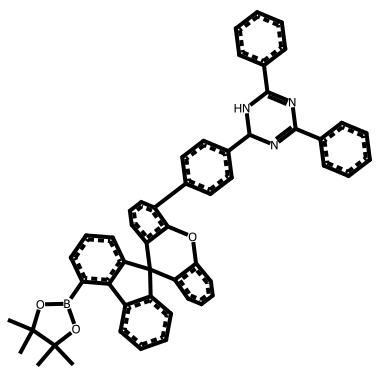 CC1(C)OB(c2cccc3c2-c2ccccc2C32c3ccccc3Oc3c(-c4ccc(C5N=C(c6ccccc6)N=C(c6ccccc6)N5)cc4)cccc32)OC1(C)C